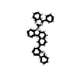 c1ccc(-c2nc(-n3c4ccccc4c4c5cc(-c6cccc7c6sc6ccccc67)ccc5ccc43)nc3ccccc23)cc1